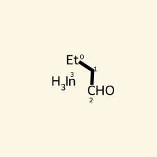 CCCC=O.[InH3]